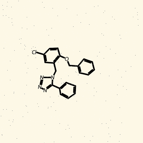 Clc1ccc(OCc2ccccc2)c(Cn2nnnc2-c2ccccc2)c1